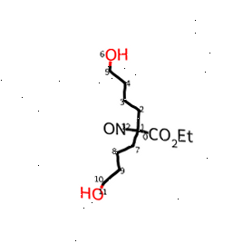 CCOC(=O)C(CCCCO)(CCCCO)N=O